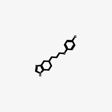 Clc1ccc(OCCCC2CCc3[nH]cnc3C2)cc1